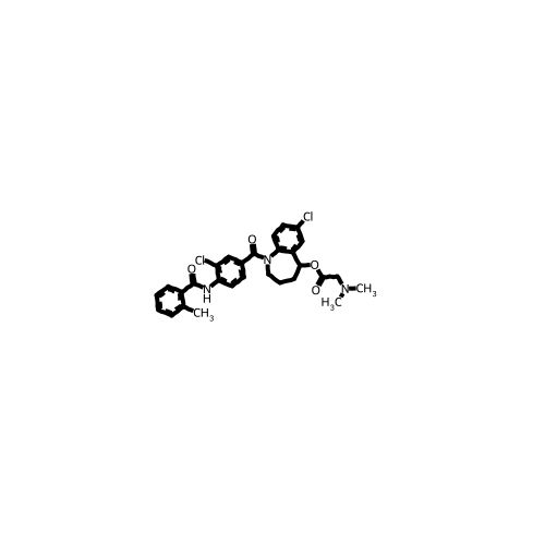 Cc1ccccc1C(=O)Nc1ccc(C(=O)N2CCCC(OC(=O)CN(C)C)c3cc(Cl)ccc32)cc1Cl